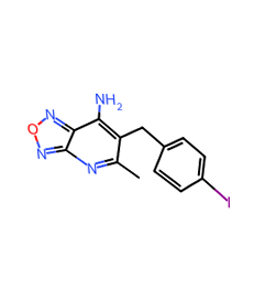 Cc1nc2nonc2c(N)c1Cc1ccc(I)cc1